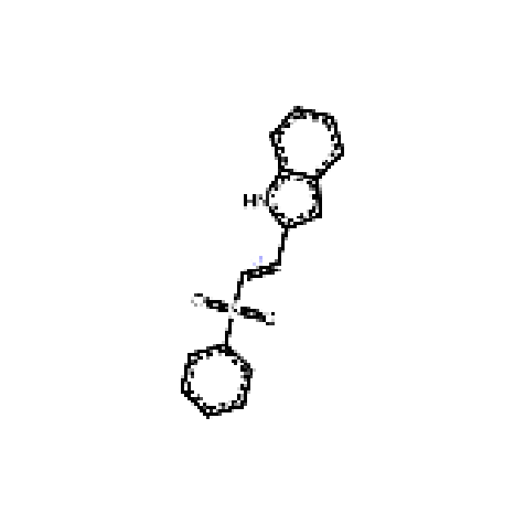 O=S(=O)(/C=C/c1cc2ccccc2[nH]1)c1ccccc1